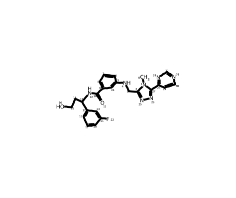 Cn1c(CNc2cccc(C(=O)NC(CCO)c3cccc(F)c3)c2)nnc1-c1ccncn1